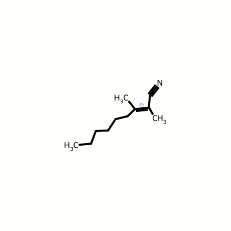 CCCCCC/C(C)=C(\C)C#N